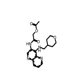 CC(=O)OCC(=O)Nc1cnc2cccnc2c1NCC1CCOCC1